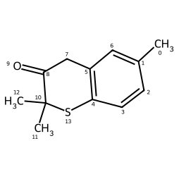 Cc1ccc2c(c1)CC(=O)C(C)(C)S2